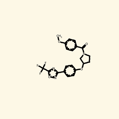 COc1ccc(C(=O)N2CCC(Oc3ccc(-c4noc(C(F)(F)F)n4)cc3)C2)cc1